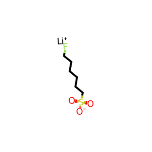 O=S(=O)([O-])CCCCCCF.[Li+]